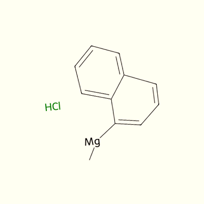 Cl.[CH3][Mg][c]1cccc2ccccc12